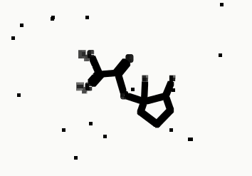 C=C(C)C(=O)OC1(F)CCCC1F